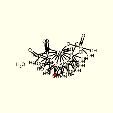 O.O=P(O)(O)[O][W](=[O])(=[O])([O]P(=O)(O)O)([P](=O)(O)O)([P](=O)(O)O)([P](=O)(O)O)([P](=O)(O)O)([P](=O)(O)O)([P](=O)(O)O)([P](=O)(O)O)([P](=O)(O)O)([P](=O)(O)O)[P](=O)(O)O